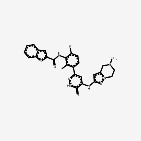 CN1CCn2nc(Nc3cc(-c4ccc(F)c(NC(=O)c5cc6ccccc6s5)c4F)n[nH]c3=O)cc2C1